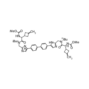 C=C1CC(C(NC(=O)OC)C(=O)N(Cc2ncc(-c3ccc(-c4ccc(-c5cnc(CN(C(=O)C(NC(=O)OC)C6CC(=C)C6)[C@@H](C)CC)[nH]5)cc4)cc3)[nH]2)[C@@H](C)CC)C1